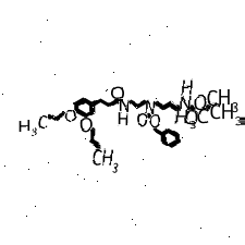 CCCCOc1ccc(CCC(=O)NCCCN(CCCCNC(=O)OC(C)(C)C)C(=O)OCc2ccccc2)cc1OCCCC